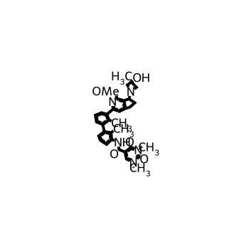 COc1nc(-c2cccc(-c3cccc(NC(=O)c4cn(C)c(=O)n(C)c4=O)c3C)c2C)cc2c1C(N1CC(C)(O)C1)CC2